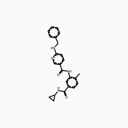 Cc1ccc(C(=O)NC2CC2)cc1NC(=O)c1ccc(NCc2ccccc2)nc1